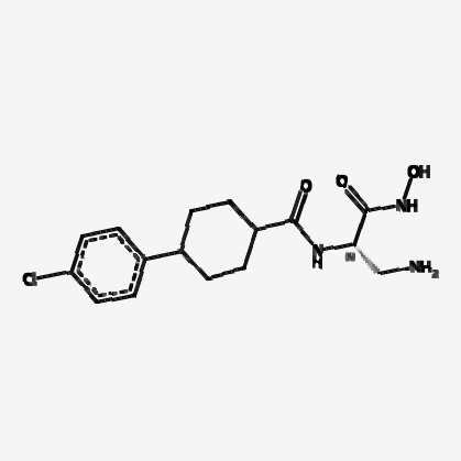 NC[C@H](NC(=O)C1CCC(c2ccc(Cl)cc2)CC1)C(=O)NO